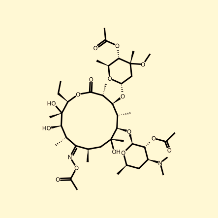 CC[C@H]1OC(=O)[C@H](C)[C@@H](O[C@H]2C[C@@](C)(OC)[C@@H](OC(C)=O)[C@H](C)O2)[C@H](C)[C@@H](O[C@@H]2O[C@H](C)C[C@H](N(C)C)[C@H]2OC(C)=O)[C@](C)(O)C[C@@H](C)/C(=N\OC(C)=O)[C@H](C)[C@@H](O)[C@]1(C)O